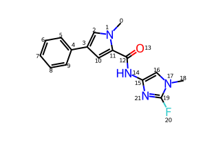 Cn1cc(-c2ccccc2)cc1C(=O)Nc1cn(C)c(F)n1